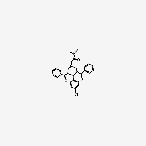 CN(C)C(=O)CN1CC(C(=O)c2ccccc2)C(c2ccc(Cl)cc2)C(C(=O)c2ccccc2)C1